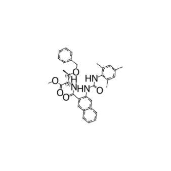 COC(=O)[C@@H](NC(=O)c1cc2ccccc2cc1NC(=O)Nc1c(C)cc(C)cc1C)[C@@H](C)OCc1ccccc1